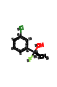 C[C@@](O)(F)c1cccc(Cl)c1